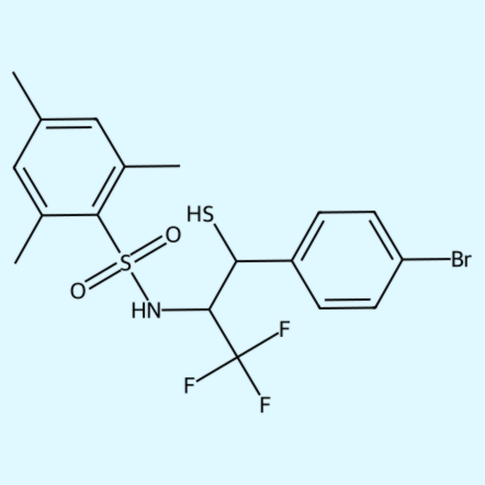 Cc1cc(C)c(S(=O)(=O)NC(C(S)c2ccc(Br)cc2)C(F)(F)F)c(C)c1